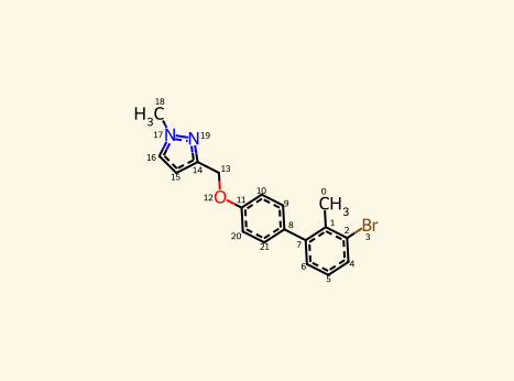 Cc1c(Br)cccc1-c1ccc(OCc2ccn(C)n2)cc1